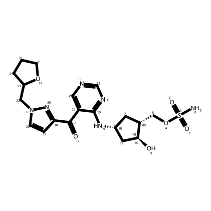 NS(=O)(=O)OC[C@H]1C[C@@H](Nc2ncncc2C(=O)c2ccn(CC3CCCO3)n2)C[C@@H]1O